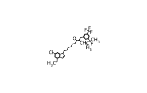 C=C(Cc1cc(C(C)(C)F)cc(C(F)(F)F)c1)C(=O)CCCCCCC1C=Cc2c(CC)cc(Cl)cc21